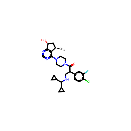 C[C@@H]1C[C@H](O)c2ncnc(N3CCN(C(=O)C(CNC(C4CC4)C4CC4)c4ccc(Cl)c(F)c4)CC3)c21